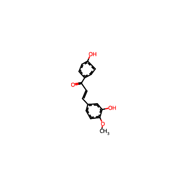 COc1ccc(C=CC(=O)c2ccc(O)cc2)cc1O